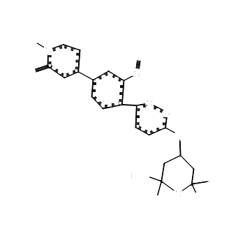 Cn1ccc(-c2ccc(-c3ccc(OC4CC(C)(C)NC(C)(C)C4)nn3)c(N=O)c2)cc1=O